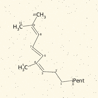 [CH2]CCC(C)CCC=C(C)C=CC=C(C)C